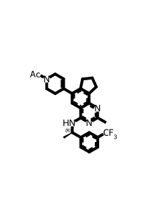 CC(=O)N1CC=C(c2cc3c(N[C@H](C)c4cccc(C(F)(F)F)c4)nc(C)nc3c3c2CCC3)CC1